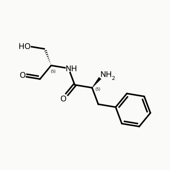 N[C@@H](Cc1ccccc1)C(=O)N[C@H](C=O)CO